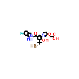 Br.CC(C)(C)c1cc(C(=O)CN2Cc3ccc(F)cc3C2=N)cc(N2CCC(OCC(=O)O)C2)c1O